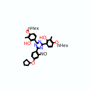 CCCCCCOc1ccc(-c2nc(-c3ccc(OC4CCCC4)cc3N=O)nc(-c3ccc(OCCCCCC)c(C)c3O)n2)c(O)c1C